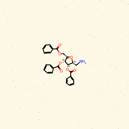 NC[C@@H]1O[C@H](COC(=O)c2ccccc2)[C@@H](OC(=O)c2ccccc2)[C@H]1OC(=O)c1ccccc1